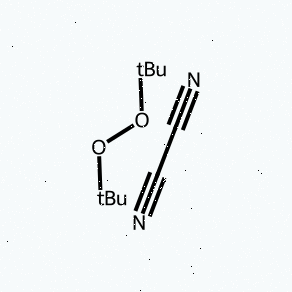 CC(C)(C)OOC(C)(C)C.N#CC#N